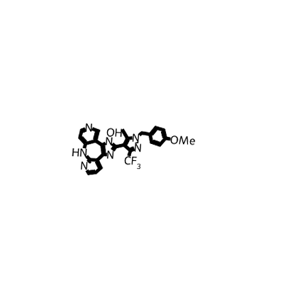 COc1ccc(Cn2nc(C(F)(F)F)c(-c3nc4c(n3O)-c3cnccc3Nc3ncccc3-4)c2C)cc1